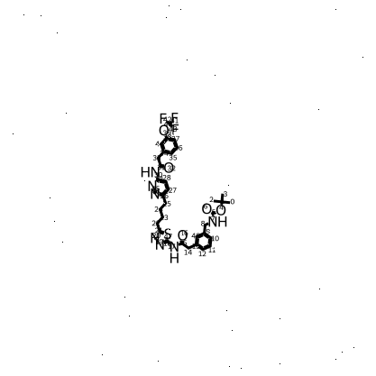 CC(C)(C)OC(=O)NCc1cccc(CC(=O)Nc2nnc(CCCCc3ccc(NC(=O)Cc4cccc(OC(F)(F)F)c4)nn3)s2)c1